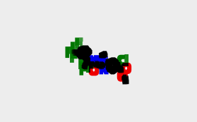 CCOC(=O)c1cc2nc(C(=O)NC(c3ccc(F)c(C(F)(F)F)c3)C(F)(F)F)n(CC)c2cc1Cl